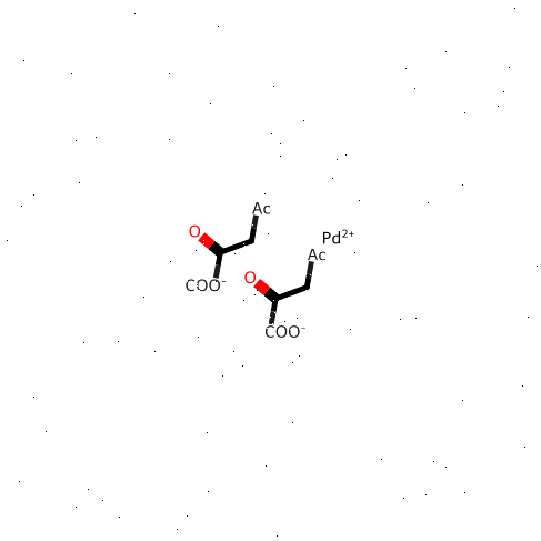 CC(=O)CC(=O)C(=O)[O-].CC(=O)CC(=O)C(=O)[O-].[Pd+2]